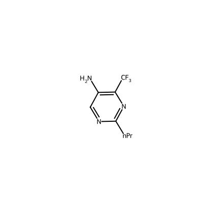 CCCc1ncc(N)c(C(F)(F)F)n1